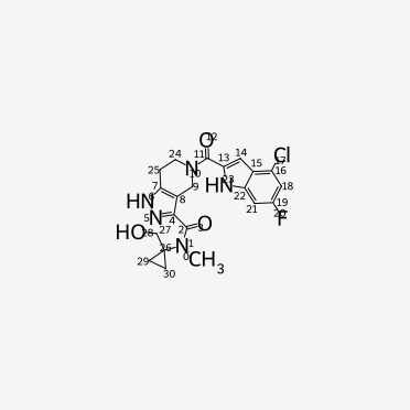 CN(C(=O)c1n[nH]c2c1CN(C(=O)c1cc3c(Cl)cc(F)cc3[nH]1)CC2)C1(CO)CC1